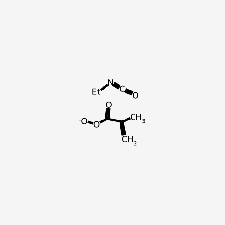 C=C(C)C(=O)O[O].CCN=C=O